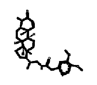 COc1ccc(CC(=O)NCC(C)[C@H]2CC[C@H]3[C@@H]4CCC5N(C)C(=O)C=C[C@]5(C)[C@H]4CC[C@]23C)cc1OC